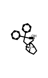 C[N+]1(CCO)C2CCC1CC(CC(C#N)(c1ccccc1)c1ccccc1)C2